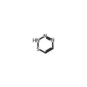 C1=CSNN=N1